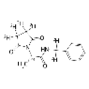 [2H]C([2H])(NC(=O)[C@H](C)N1C(=O)C([2H])([2H])C([2H])([2H])C1=O)c1ccccc1